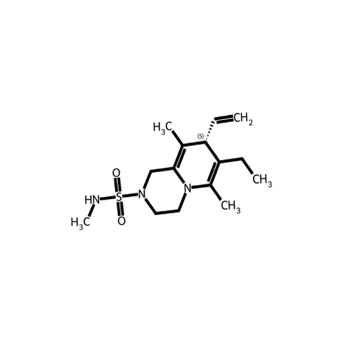 C=C[C@H]1C(C)=C2CN(S(=O)(=O)NC)CCN2C(C)=C1CC